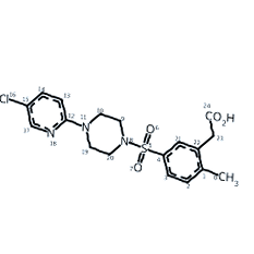 Cc1ccc(S(=O)(=O)N2CCN(c3ccc(Cl)cn3)CC2)cc1CC(=O)O